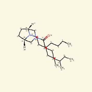 CCCCC(CCC)CCN1[C@@H]2CC[C@H]1CN(C(=O)CCCC(C)CC)C2